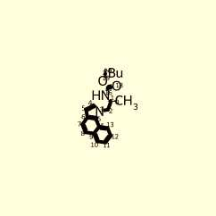 C[C@H](Cn1ccc2ccc3ccccc3c21)NC(=O)OC(C)(C)C